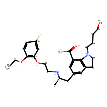 C[C@H](Cc1cc2c(c(C(N)=O)c1)N(CCCCO)CC2)NCCOc1cc(F)ccc1OCC(F)(F)F